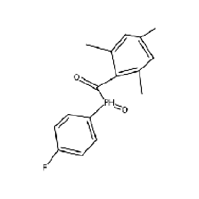 Cc1cc(C)c(C(=O)[PH](=O)c2ccc(F)cc2)c(C)c1